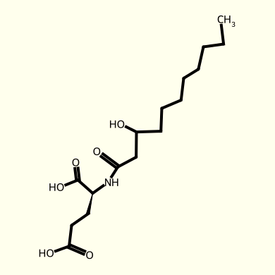 CCCCCCCCC(O)CC(=O)N[C@@H](CCC(=O)O)C(=O)O